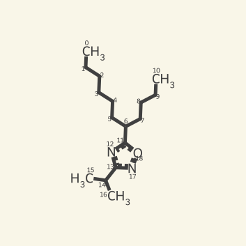 CCCCCCC(CCCC)c1nc(C(C)C)no1